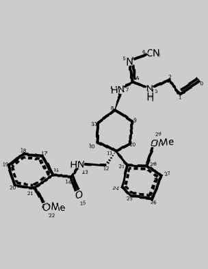 C=CCN/C(=N\C#N)N[C@H]1CC[C@@](CNC(=O)c2ccccc2OC)(c2ccccc2OC)CC1